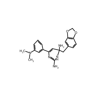 CN(C)c1cccc(C2=CC(N)(Cc3ccc4c(c3)OCO4)NC(N)=N2)c1